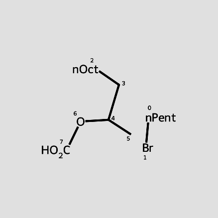 CCCCCBr.CCCCCCCCCC(C)OC(=O)O